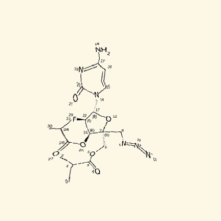 CC(C)C(=O)OC[C@@]1(CN=[N+]=[N-])O[C@@H](n2ccc(N)nc2=O)[C@H](F)[C@@H]1OC(=O)C(C)C